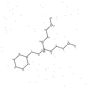 COCCO[SiH](CCC1CCCCC1)OCCOC